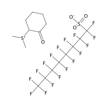 C[S+](C)C1CCCCC1=O.O=S(=O)([O-])C(F)(F)C(F)(F)C(F)(F)C(F)(F)C(F)(F)C(F)(F)C(F)(F)C(F)(F)F